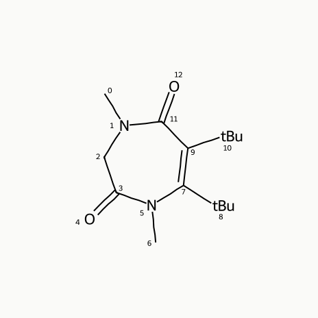 CN1CC(=O)N(C)C(C(C)(C)C)=C(C(C)(C)C)C1=O